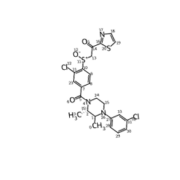 CC1[C@H](C)N(C(=O)c2ccc([S+]([O-])CC(=O)c3nccs3)c(Cl)c2)CCN1c1cccc(Cl)c1